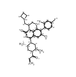 C=CC(=O)N1C[C@H](C)N(c2nc(=O)n3c4c(c(-c5ccc(F)cc5F)c(Cl)cc24)OCC3CN2CCC2)C[C@H]1C